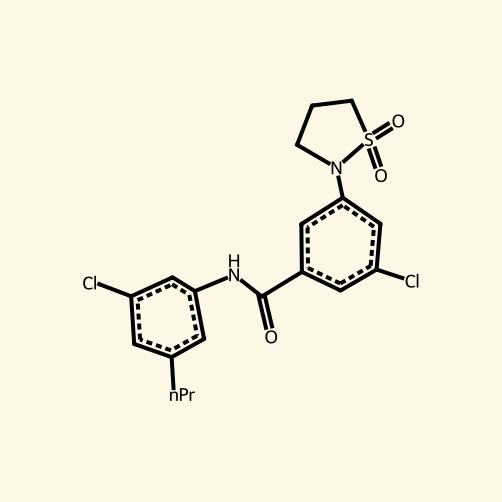 CCCc1cc(Cl)cc(NC(=O)c2cc(Cl)cc(N3CCCS3(=O)=O)c2)c1